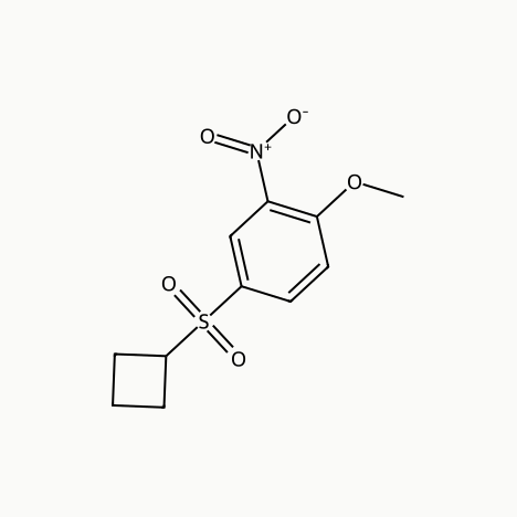 COc1ccc(S(=O)(=O)C2CCC2)cc1[N+](=O)[O-]